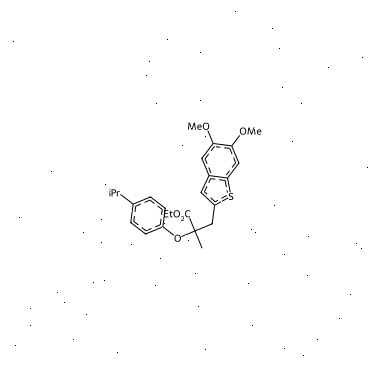 CCOC(=O)C(C)(Cc1cc2cc(OC)c(OC)cc2s1)Oc1ccc(C(C)C)cc1